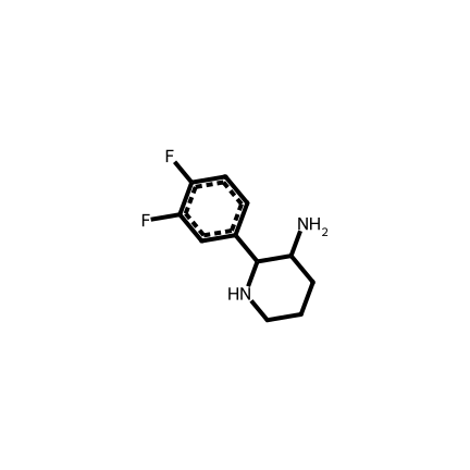 NC1CCCNC1c1ccc(F)c(F)c1